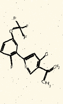 C=C(C)c1cnc(-c2cc(OC(F)(F)F)ccc2F)cc1Cl